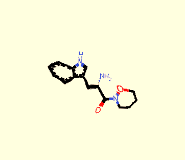 N[C@@H](Cc1c[nH]c2ccccc12)C(=O)N1CCCCO1